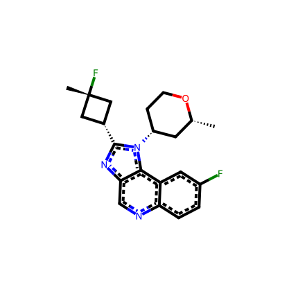 C[C@@H]1C[C@H](n2c3c(cnc4ccc(F)cc43)nc2[C@H]2C[C@@](C)(F)C2)CCO1